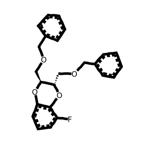 Fc1cccc2c1O[C@@H](COCc1ccccc1)[C@H](COCc1ccccc1)O2